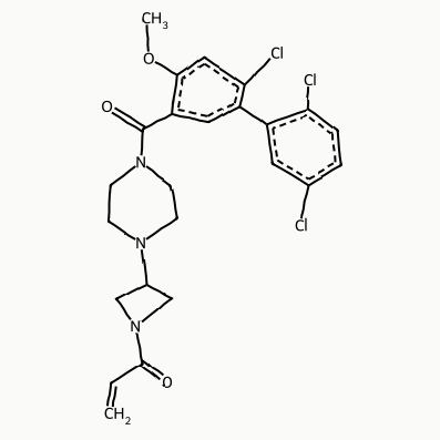 C=CC(=O)N1CC(N2CCN(C(=O)c3cc(-c4cc(Cl)ccc4Cl)c(Cl)cc3OC)CC2)C1